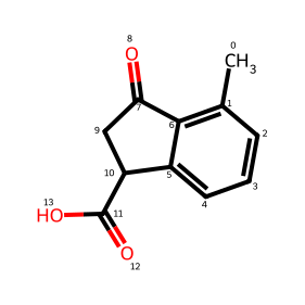 Cc1cccc2c1C(=O)CC2C(=O)O